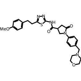 COc1ccc(CCc2nnc(NC(=O)C3CC(=O)N(c4ccc(CN5CCOCC5)cc4)C3)s2)cc1